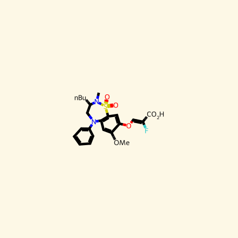 CCCCC1CN(c2ccccc2)c2cc(OC)c(O/C=C(\F)C(=O)O)cc2S(=O)(=O)N1C